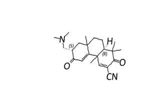 CN(C)C[C@@H]1CC2(C)CC[C@H]3C(C)(C)C(=O)C(C#N)=CC3(C)C2=CC1=O